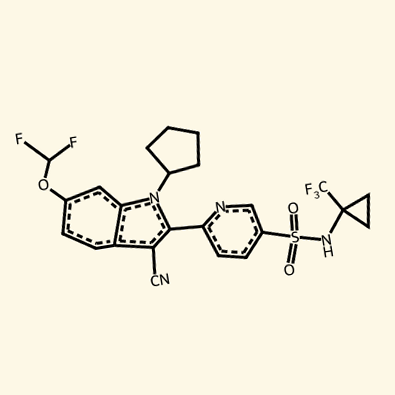 N#Cc1c(-c2ccc(S(=O)(=O)NC3(C(F)(F)F)CC3)cn2)n(C2CCCC2)c2cc(OC(F)F)ccc12